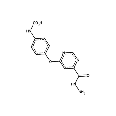 NNC(=O)c1cc(Oc2ccc(NC(=O)O)cc2)ncn1